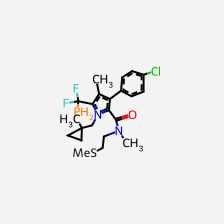 CSCCN(C)C(=O)c1c(-c2ccc(Cl)cc2)c(C)c(C(F)(F)P)n1CC1(C)CC1